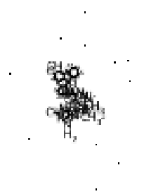 COc1ccc(C(OC2[C@H]3O[C@@H](n4cnc5c(N)nc(Cl)nc54)C(O[Si](C)(C)C(C)(C)C)C23N=[N+]=[N-])(c2ccccc2)c2ccccc2)cc1